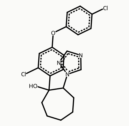 OC1(c2ccc(Oc3ccc(Cl)cc3)cc2Cl)CCCCCC1n1cncn1